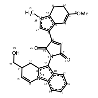 COC1=Cc2c(C3=CC(=O)N(c4c5n(c6ccccc46)C=CC(CO)C5)C3=O)cn(C)c2CC1